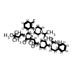 CC(C)N1CCN(c2c(F)cccc2[C@@H]2S[C@@](C)(CC(=O)N3CCC(N4CCc5ccccc5NC4=O)CC3)C(=O)N2CCC(C)(C)C)CC1